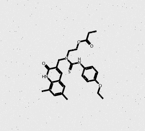 CCOc1ccc(NC(=S)N(CCOC(=O)CC)Cc2cc3cc(C)cc(C)c3[nH]c2=O)cc1